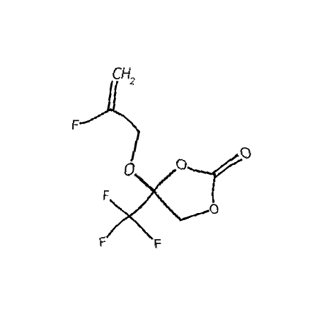 C=C(F)COC1(C(F)(F)F)COC(=O)O1